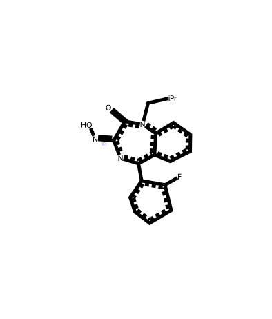 CC(C)Cn1c(=O)/c(=N\O)nc(-c2ccccc2F)c2ccccc21